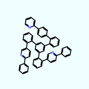 c1ccc(-c2ccc(-c3ccccc3-c3cc(-c4ccccc4-c4ccc(-c5ccccn5)cc4)cc(-c4ccccc4-c4ccc(-c5ccccc5)nc4)c3)cn2)cc1